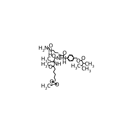 C=CS(=O)(=O)CCCCCC(=O)N[C@@H](C(=O)N[C@H](CCCNC(N)=O)C(=O)Nc1ccc(COC(=O)C(C)C(C)C)cc1)C(C)C